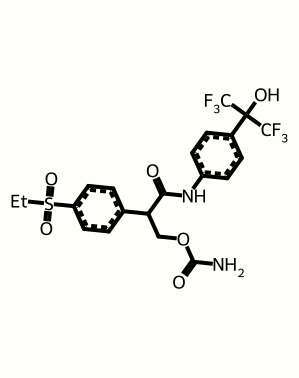 CCS(=O)(=O)c1ccc(C(COC(N)=O)C(=O)Nc2ccc(C(O)(C(F)(F)F)C(F)(F)F)cc2)cc1